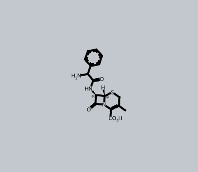 CC1=C(C(=O)O)N2C(=O)[C@@H](NC(=O)C(N)c3ccccc3)[C@@H]2SC1